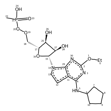 CCOc1nc(NC2CCCC2)c2ccn([C@@H]3O[C@H](COOP(C)(=O)O)[C@@H](O)[C@H]3O)c2n1